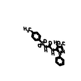 Cc1ccc(S(=O)(=O)NC(=O)Nc2c(C(=O)O)cnn2-c2ccccc2)cc1